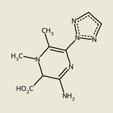 CC1=C(n2nccn2)N=C(N)C(C(=O)O)N1C